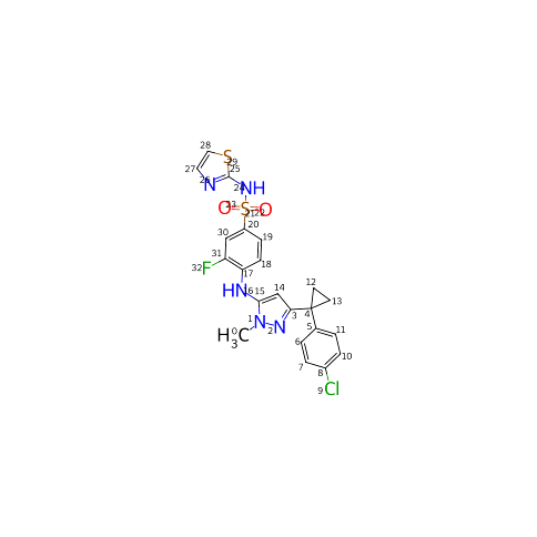 Cn1nc(C2(c3ccc(Cl)cc3)CC2)cc1Nc1ccc(S(=O)(=O)Nc2nccs2)cc1F